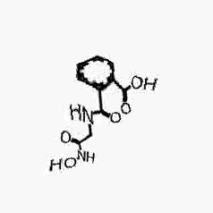 O=C(CNC(=O)c1ccccc1C(=O)O)NO